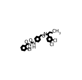 CCCC(=NOCc1ccc(NC(=O)NC(=O)c2ccccc2Cl)cc1)c1ccc(Cl)c(Cl)c1